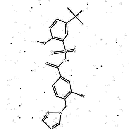 COc1ccc(C(C)(C)C)cc1S(=O)(=O)NC(=O)c1ccc(Cn2cccn2)c(Br)c1